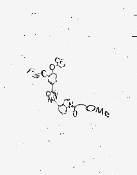 COCC(=O)n1ccc2c(-c3noc(-c4ccc(OC(C)C(F)(F)F)c(C(F)(F)F)c4)n3)cccc21